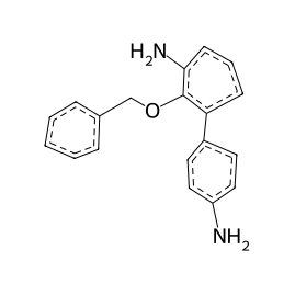 Nc1ccc(-c2cccc(N)c2OCc2ccccc2)cc1